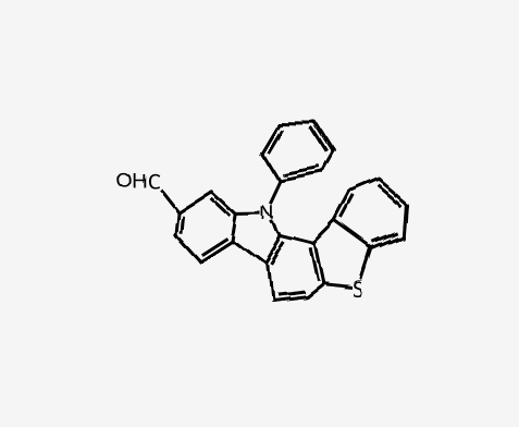 O=Cc1ccc2c3ccc4sc5ccccc5c4c3n(-c3ccccc3)c2c1